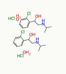 CC(C)NCC(O)c1ccccc1Cl.CC(C)NCC(O)c1ccccc1Cl.Cl.Cl.O.O